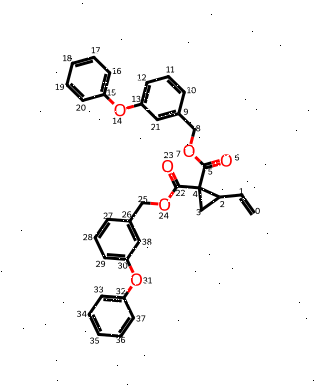 C=CC1CC1(C(=O)OCc1cccc(Oc2ccccc2)c1)C(=O)OCc1cccc(Oc2ccccc2)c1